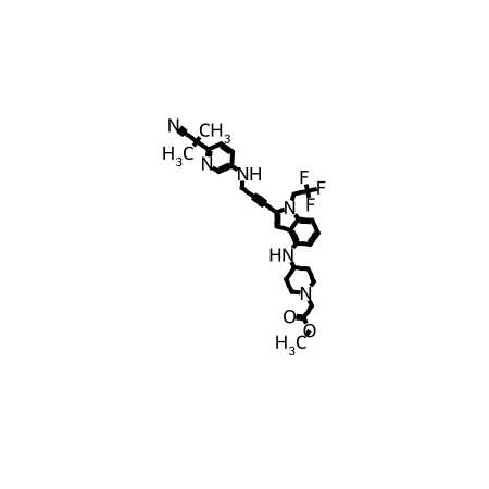 COC(=O)CN1CCC(Nc2cccc3c2cc(C#CCNc2ccc(C(C)(C)C#N)nc2)n3CC(F)(F)F)CC1